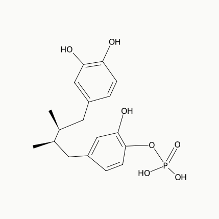 C[C@H](Cc1ccc(OP(=O)(O)O)c(O)c1)[C@@H](C)Cc1ccc(O)c(O)c1